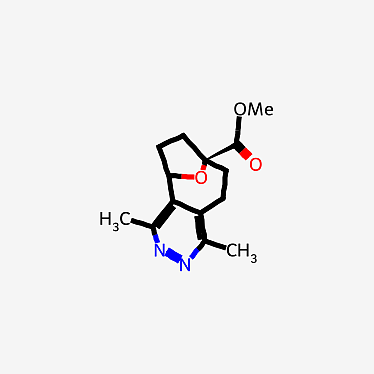 COC(=O)[C@]12CCc3c(C)nnc(C)c3C(CC1)O2